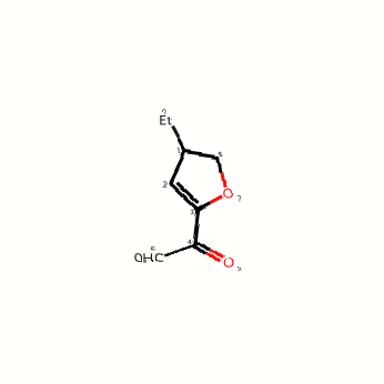 CCC1C=C(C(=O)C=O)OC1